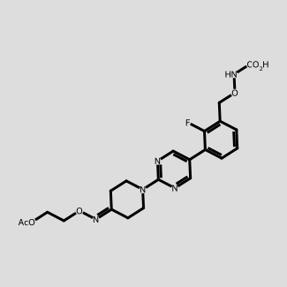 CC(=O)OCCON=C1CCN(c2ncc(-c3cccc(CONC(=O)O)c3F)cn2)CC1